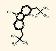 Cn1c2ccc(CC(C)(C)C)nc2c2nc(CC(C)(C)C)ccc21